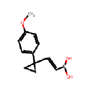 OB(O)C=CC1(c2ccc(OC(F)(F)F)cc2)CC1